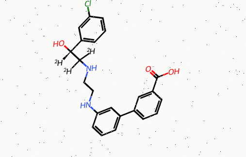 [2H]C([2H])(NCCNc1cccc(-c2cccc(C(=O)O)c2)c1)[C@]([2H])(O)c1cccc(Cl)c1